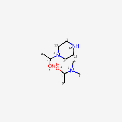 CC(O)N(C)C.CC(O)N1CCNCC1